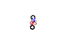 S=C(Oc1ccccc1)N1CCCCC1